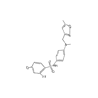 Cc1cc(CN(C)c2ccc(NS(=O)(=O)c3ccc(Cl)cc3Cl)cc2)no1